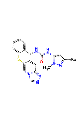 Cn1nc(C(C)(C)C)cc1NC(=O)NCc1ccccc1Sc1ccc2nncn2c1